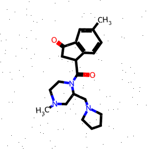 Cc1ccc2c(c1)C(=O)CC2C(=O)N1CCN(C)CC1CN1CCCC1